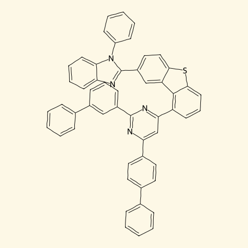 c1ccc(-c2ccc(-c3cc(-c4cccc5sc6ccc(-c7nc8ccccc8n7-c7ccccc7)cc6c45)nc(-c4cccc(-c5ccccc5)c4)n3)cc2)cc1